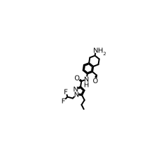 CCCc1cc(C(=O)Nc2ccc3c(c2C=O)CCC(N)C3)nn1CC(F)F